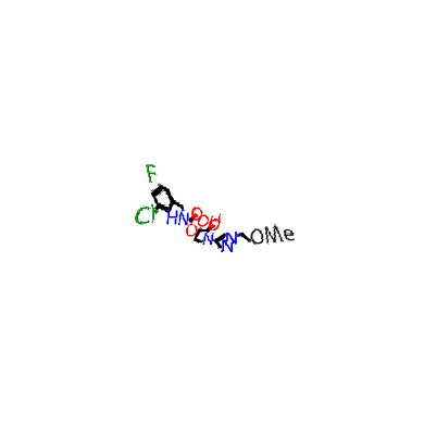 COCCn1cc(N2CC[C@](O)(OC(=O)NCc3cc(F)cc(Cl)c3)C2=O)cn1